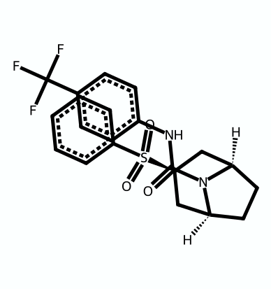 O=C(Nc1ccc(C(F)(F)F)cc1)N1[C@@H]2CC[C@H]1C[C@@H](S(=O)(=O)c1ccccc1)C2